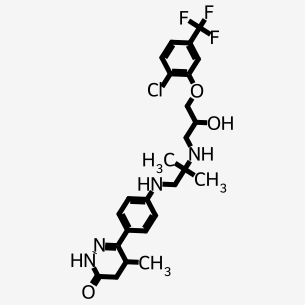 CC1CC(=O)NN=C1c1ccc(NCC(C)(C)NCC(O)COc2cc(C(F)(F)F)ccc2Cl)cc1